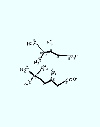 C[N+](C)(C)C[C@H](O)CC(=O)[O-].Cl.N[C@@H](CCC(=O)O)C(=O)O